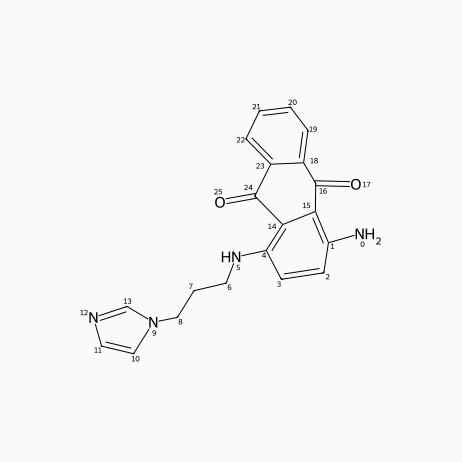 Nc1ccc(NCCCn2ccnc2)c2c1C(=O)c1ccccc1C2=O